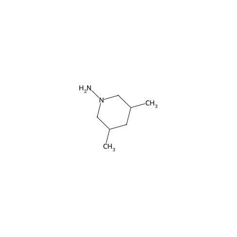 CC1CC(C)CN(N)C1